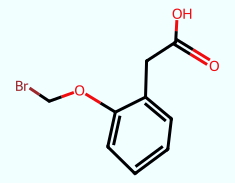 O=C(O)Cc1ccccc1OCBr